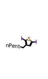 CCCCCCc1cc(I)sc1I